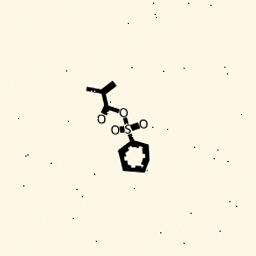 C=C(C)C(=O)OS(=O)(=O)c1cc[c]cc1